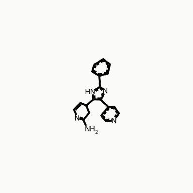 NC1=NC=CC(c2[nH]c(-c3ccccc3)nc2-c2ccncc2)C1